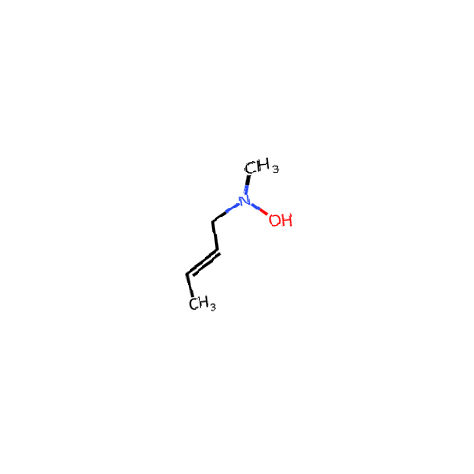 CC=CCN(C)O